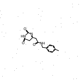 Cc1ccc(CNC(=O)CC2=NC(=O)NC(=O)C2)cc1